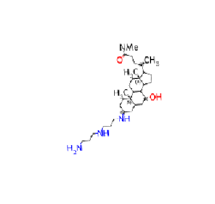 CNC(=O)CC[C@@H](C)C1CCC2C3C(CC[C@@]21C)[C@@]1(C)CC[C@H](NCCCNCCCN)CC1C[C@H]3O